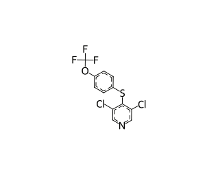 FC(F)(F)Oc1ccc(Sc2c(Cl)cncc2Cl)cc1